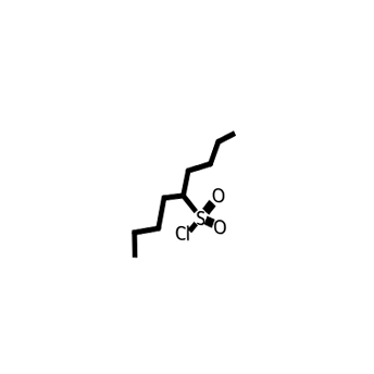 CCCCC(CCCC)S(=O)(=O)Cl